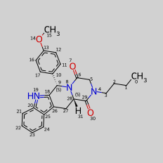 CCCCN1CC(=O)N2[C@@H](c3ccc(OC)cc3)c3[nH]c4ccccc4c3C[C@H]2C1=O